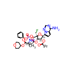 CC(C)C(=O)O[C@H]1[C@H](c2ccc3c(N)ncnn23)O[C@](CF)(COP(=O)(N[C@@H](C)C(=O)OC2CCOCC2)Oc2ccccc2)[C@H]1OC(=O)C(C)C